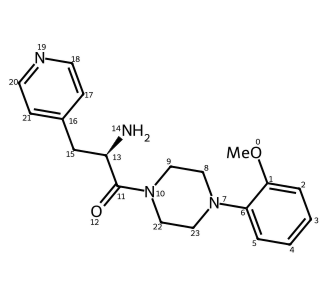 COc1ccccc1N1CCN(C(=O)[C@H](N)Cc2ccncc2)CC1